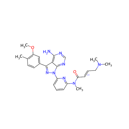 COc1cc(-c2nn(-c3cccc(N(C)C(=O)/C=C/CN(C)C)n3)c3ncnc(N)c23)ccc1C